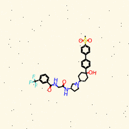 CS(=O)(=O)c1ccc(-c2ccc(C3(O)CCC(N4CC[C@@H](NC(=O)CNC(=O)c5cccc(C(F)(F)F)c5)C4)CC3)cc2)cc1